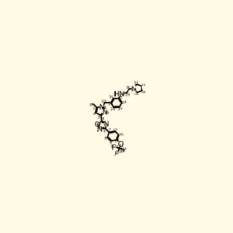 Cc1cc(-c2nc(-c3ccc(OC(F)(F)F)cc3)no2)nn1Cc1cccc(NCCN2CCCC2)c1